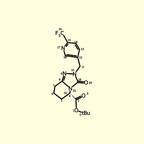 CC(C)(C)OC(=O)[C@@H]1CCCc2nn(Cc3ccc(C(F)(F)F)nc3)c(=O)n21